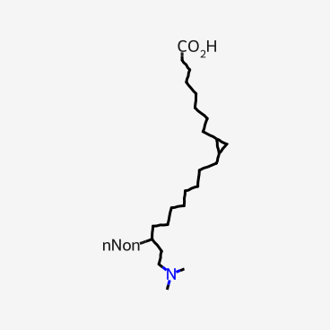 CCCCCCCCCC(CCCCCCCCC1CC1CCCCCCCC(=O)O)CCN(C)C